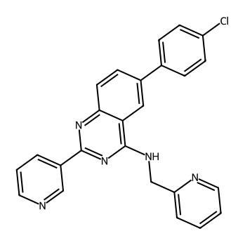 Clc1ccc(-c2ccc3nc(-c4cccnc4)nc(NCc4ccccn4)c3c2)cc1